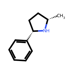 C[C@H]1CC[C@@H](c2ccccc2)N1